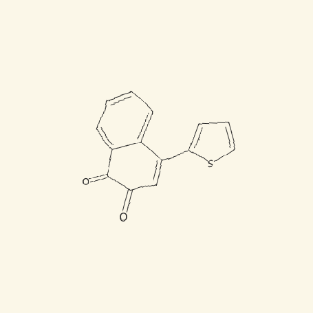 O=C1C=C(c2cccs2)c2ccccc2C1=O